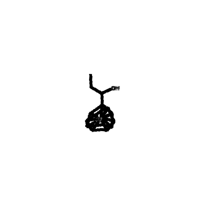 CCC(O)[C]12[CH]3[CH]4[CH]5[CH]1[Ru]45321678[CH]2[CH]1[CH]6[CH]7[CH]28